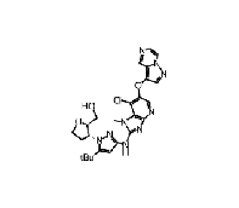 Cn1c(Nc2cc(C(C)(C)C)n([C@@H]3CCO[C@H]3CO)n2)nc2ncc(Oc3cnn4ccncc34)c(Cl)c21